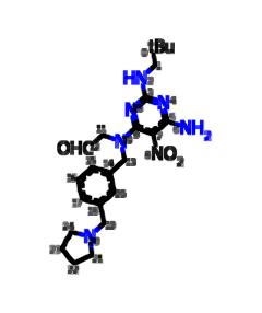 CC(C)(C)CNc1nc(N)c([N+](=O)[O-])c(N(CC=O)Cc2cccc(CN3CCCC3)c2)n1